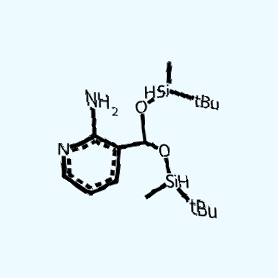 C[SiH](OC(O[SiH](C)C(C)(C)C)c1cccnc1N)C(C)(C)C